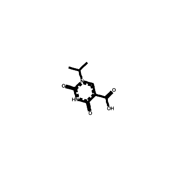 CC(C)n1cc(C(=O)O)c(=O)[nH]c1=O